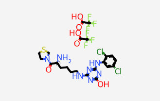 N[C@@H](CCCCNc1nc(O)nc(Nc2cc(Cl)ccc2Cl)n1)C(=O)N1CCSC1.O=C(O)C(F)(F)F.O=C(O)C(F)(F)F